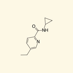 CCc1ccc(C(=O)NC2CC2)nc1